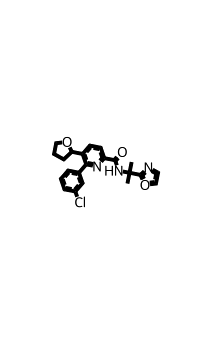 CC(C)(NC(=O)c1ccc(C2CCCO2)c(-c2cccc(Cl)c2)n1)c1ncco1